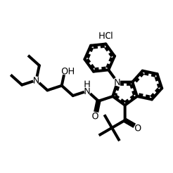 CCN(CC)CC(O)CNC(=O)c1c(C(=O)C(C)(C)C)c2ccccc2n1-c1ccccc1.Cl